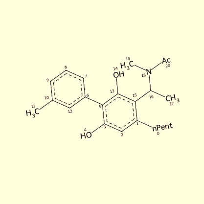 CCCCCc1cc(O)c(-c2cccc(C)c2)c(O)c1C(C)N(C)C(C)=O